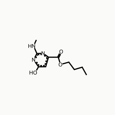 CCCCOC(=O)c1cc(O)nc(NC)n1